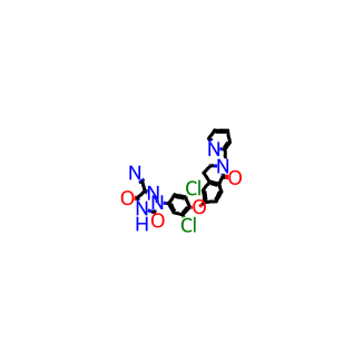 N#Cc1nn(-c2cc(Cl)c(Oc3ccc4c(c3)CCN(Cc3ccccn3)C4=O)c(Cl)c2)c(=O)[nH]c1=O